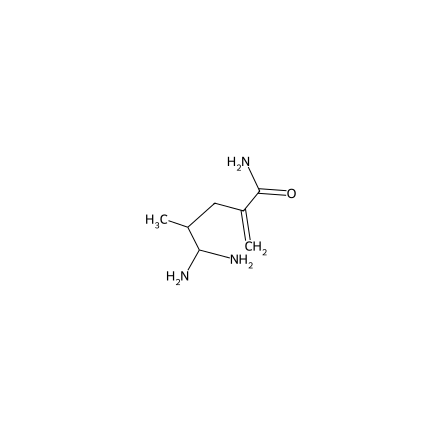 C=C(CC(C)C(N)N)C(N)=O